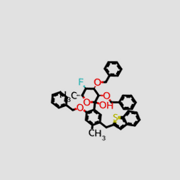 Cc1cc(OCc2ccccc2)c(C2(O)O[C@H](C)[C@@H](F)[C@H](OCc3ccccc3)[C@H]2OCc2ccccc2)cc1Cc1cc2ccccc2s1